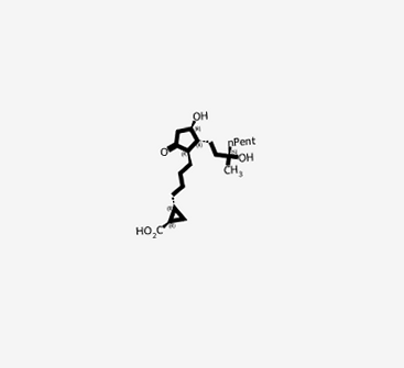 CCCCC[C@](C)(O)CC[C@H]1[C@H](O)CC(=O)[C@@H]1CCCC[C@@H]1C[C@H]1C(=O)O